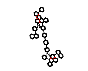 c1ccc(-c2cccc(-c3ccc(N(c4cccc(-c5cccc6ccccc56)c4)c4cc(-c5ccc(-c6ccc(-c7ccc(N(c8cccc(-c9cccc%10ccccc9%10)c8)c8ccccc8-c8cc9ccccc9c9ccccc89)cc7)cc6)cc5)ccc4-c4cc5ccccc5c5ccccc45)cc3)c2)cc1